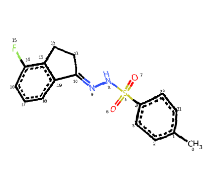 Cc1ccc(S(=O)(=O)NN=C2CCc3c(F)cccc32)cc1